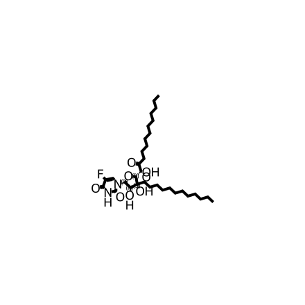 CCCCCCCCCCCC(=O)C(O)[C@H]1O[C@@H](n2cc(F)c(=O)[nH]c2=O)[C@H](O)[C@@]1(O)C(=O)CCCCCCCCCCC